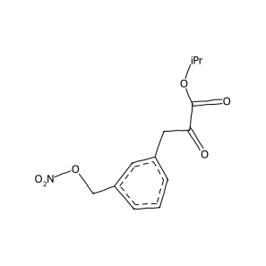 CC(C)OC(=O)C(=O)Cc1cccc(CO[N+](=O)[O-])c1